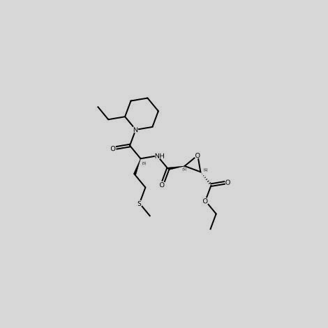 CCOC(=O)[C@H]1O[C@@H]1C(=O)N[C@@H](CCSC)C(=O)N1CCCCC1CC